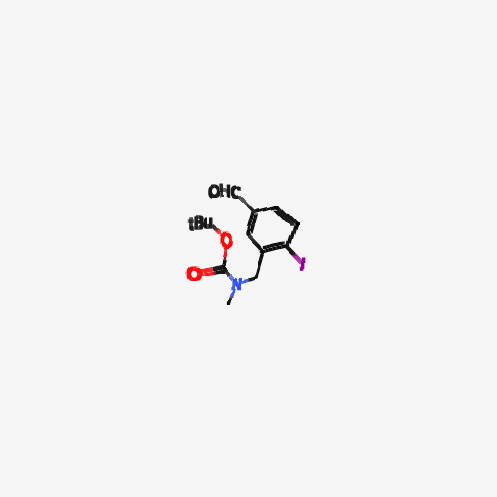 CN(Cc1cc(C=O)ccc1I)C(=O)OC(C)(C)C